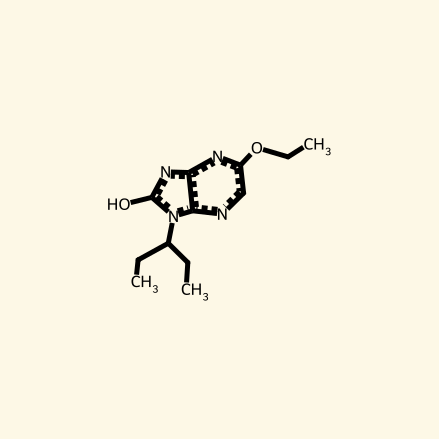 CCOc1cnc2c(n1)nc(O)n2C(CC)CC